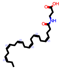 CC/C=C\C/C=C\C/C=C\C/C=C\C/C=C\C/C=C\CCC(=O)NCCC(=O)O